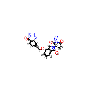 NC(=O)c1ccc(COc2cccc3c2CN(C2CCC(=O)NC2=O)C3=O)cc1